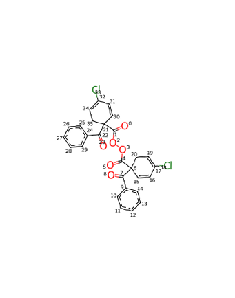 O=C(OOC(=O)C1(C(=O)c2ccccc2)C=CC(Cl)=CC1)C1(C(=O)c2ccccc2)C=CC(Cl)=CC1